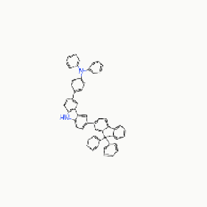 c1ccc(N(c2ccccc2)c2ccc(-c3ccc4[nH]c5ccc(-c6ccc7c(c6)C(c6ccccc6)(c6ccccc6)c6ccccc6-7)cc5c4c3)cc2)cc1